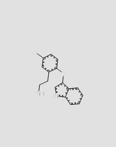 NCCc1cc(Cl)ccc1Sc1c[nH]c2ccccc12